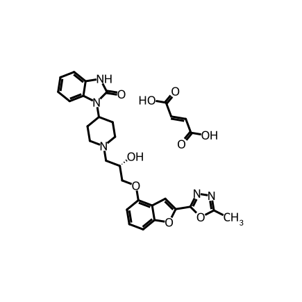 Cc1nnc(-c2cc3c(OC[C@@H](O)CN4CCC(n5c(=O)[nH]c6ccccc65)CC4)cccc3o2)o1.O=C(O)C=CC(=O)O